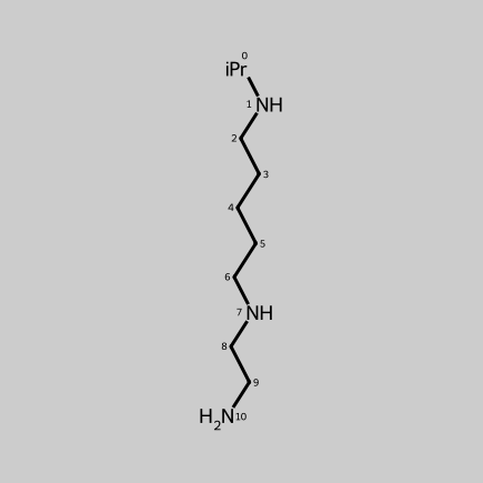 CC(C)NCCCCCNCCN